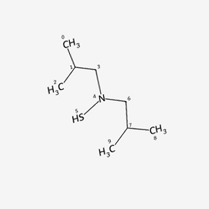 CC(C)CN(S)CC(C)C